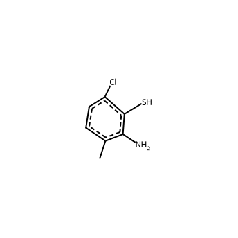 Cc1ccc(Cl)c(S)c1N